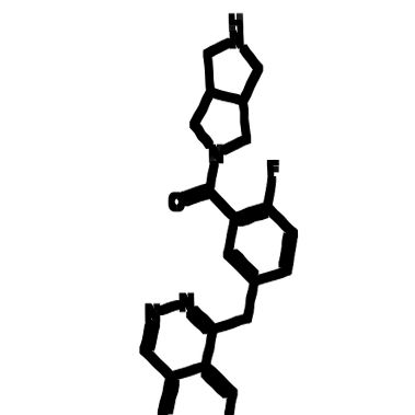 O=C(c1cc(Cc2nncc3ccccc23)ccc1F)N1CC2CNCC2C1